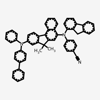 CC1(C)c2cc(N(c3ccccc3)c3ccc(-c4ccccc4)cc3)ccc2-c2c1cc(N(c1ccc(C#N)cc1)c1cccc3c1Cc1ccccc1-3)c1ccccc21